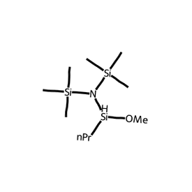 CCC[SiH](OC)N([Si](C)(C)C)[Si](C)(C)C